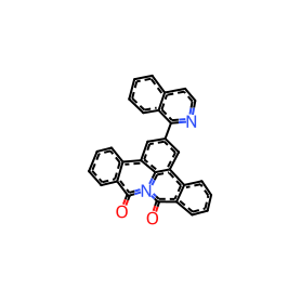 O=c1c2ccccc2c2cc(-c3nccc4ccccc34)cc3c4ccccc4c(=O)n1c23